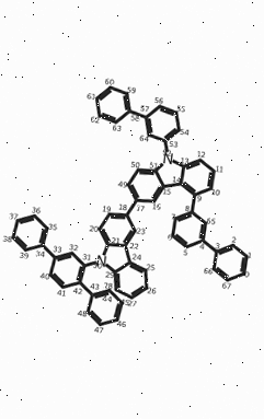 c1ccc(-c2cccc(-c3cccc4c3c3cc(-c5ccc6c(c5)c5ccccc5n6-c5cc(-c6ccccc6)ccc5-c5ccccc5)ccc3n4-c3cccc(-c4ccccc4)c3)c2)cc1